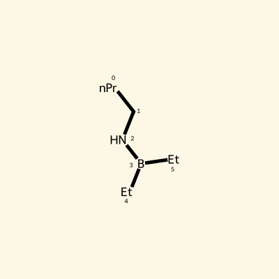 CCCCNB(CC)CC